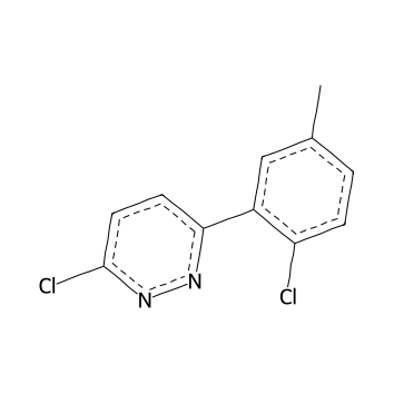 Cc1ccc(Cl)c(-c2ccc(Cl)nn2)c1